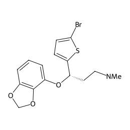 CNCC[C@H](Oc1cccc2c1OCO2)c1ccc(Br)s1